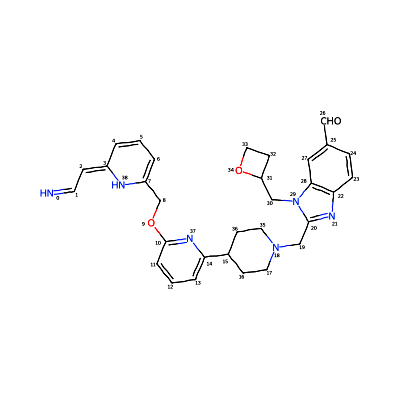 N=C/C=C1/C=CC=C(COc2cccc(C3CCN(Cc4nc5ccc(C=O)cc5n4CC4CCO4)CC3)n2)N1